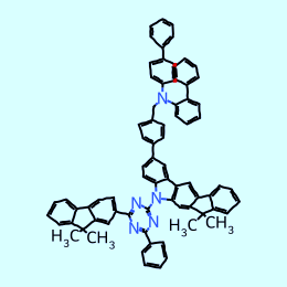 CC1(C)c2ccccc2-c2ccc(-c3nc(-c4ccccc4)nc(-n4c5ccc(-c6ccc(CN(c7ccc(-c8ccccc8)cc7)c7ccccc7-c7ccccc7)cc6)cc5c5cc6c(cc54)C(C)(C)c4ccccc4-6)n3)cc21